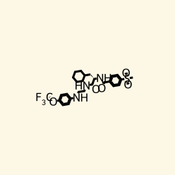 CS(=O)(=O)c1ccc(C(=O)N[C@@H](CC2CCCCC2)C(=O)NCCNc2ccc(OC(F)(F)F)cc2)cc1